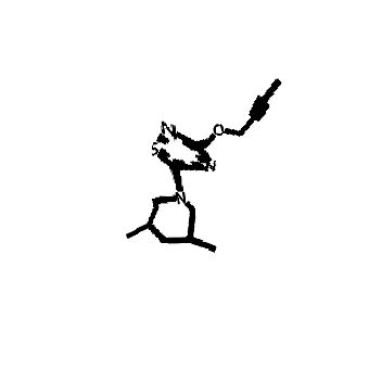 CC#CCOc1nsc(N2CC(C)CC(C)C2)n1